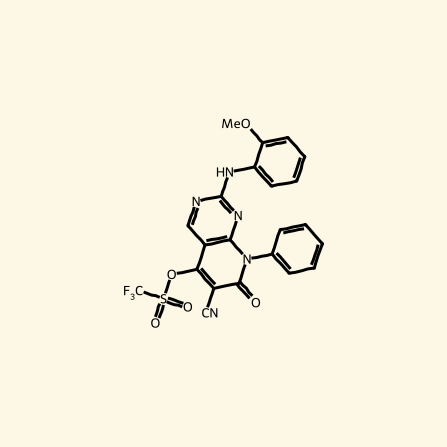 COc1ccccc1Nc1ncc2c(OS(=O)(=O)C(F)(F)F)c(C#N)c(=O)n(-c3ccccc3)c2n1